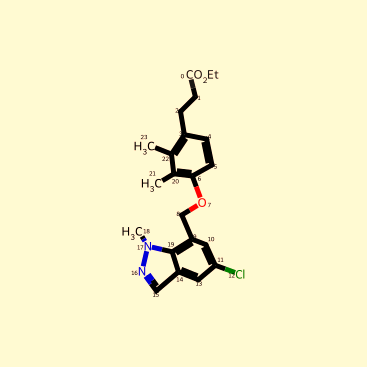 CCOC(=O)CCc1ccc(OCc2cc(Cl)cc3cnn(C)c23)c(C)c1C